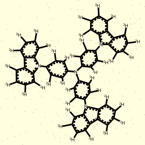 [2H]c1c([2H])c(-n2c3c([2H])c([2H])c([2H])c([2H])c3c3c([2H])c([2H])c([2H])c([2H])c32)c([2H])c([2H])c1N(c1c([2H])c([2H])c(-n2c3c([2H])c([2H])c([2H])c([2H])c3c3c([2H])c([2H])c([2H])c([2H])c32)c([2H])c1[2H])c1c([2H])c([2H])c(-n2c3c([2H])c([2H])c([2H])c([2H])c3c3c([2H])c([2H])c([2H])c([2H])c32)c([2H])c1[2H]